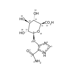 NC(=O)c1[nH]cnc1O[C@@H]1O[C@H](C(=O)O)[C@@H](O)[C@H](O)[C@H]1O